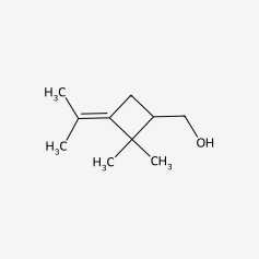 CC(C)=C1CC(CO)C1(C)C